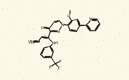 COc1cc(-c2ccccn2)ccc1-n1ccc(=O)c(/C(=C/C=N)Nc2cccc(C(F)(F)F)c2)n1